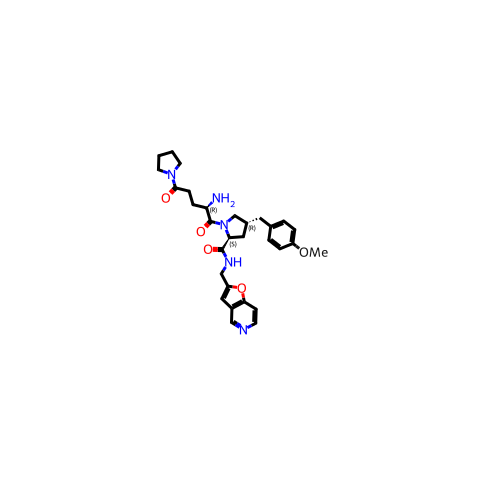 COc1ccc(C[C@@H]2C[C@@H](C(=O)NCc3cc4cnccc4o3)N(C(=O)[C@H](N)CCC(=O)N3CCCC3)C2)cc1